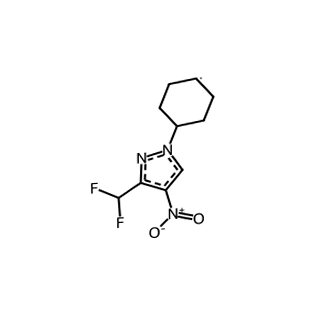 O=[N+]([O-])c1cn(C2CC[CH]CC2)nc1C(F)F